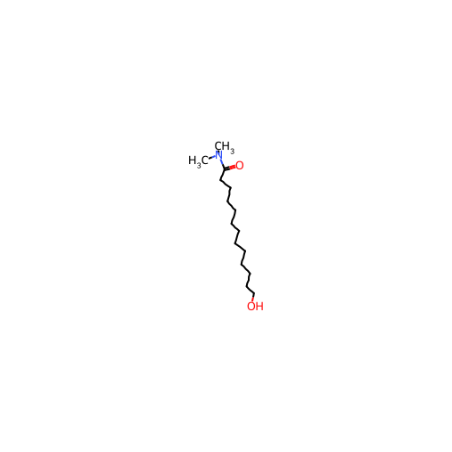 CN(C)C(=O)CCCCCCCCCCCCO